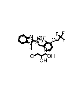 Cc1c(OCC(F)(F)F)ccnc1C[S@@+]([O-])c1nc2ccccc2[nH]1.OCC(O)CCl